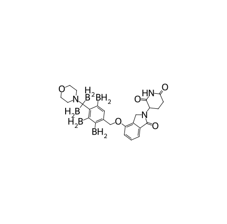 Bc1cc(COc2cccc3c2CN(C2CCC(=O)NC2=O)C3=O)c(B)c(B)c1C(B)(B)N1CCOCC1